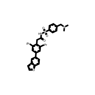 CC(C)c1cc(-c2ccc3occc3c2)cc(C(C)C)c1CC(=O)NS(=O)(=O)c1ccc(CN(C)C)cc1